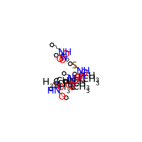 CC(C)(C)N1C(=O)C(NCCCSc2ccccc2)=C(c2ccccc2)S1(=O)=O.CC(C)(C)N1C(=O)C(NCCc2ccccc2)=C(c2ccccc2)S1(=O)=O.CC(C)(C)n1sc(-c2ccccc2)c(NCCCOc2ccccc2)c1=O.O=C1C(NCCCCc2ccccc2)=C(c2ccccc2)S(=O)(=O)N1C1CCCC1